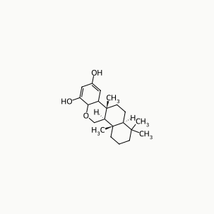 CC1(C)CCC[C@]2(C)[C@H]3COC4C(O)=CC(O)=CC4[C@]3(C)CC[C@@H]12